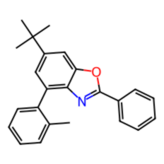 Cc1ccccc1-c1cc(C(C)(C)C)cc2oc(-c3ccccc3)nc12